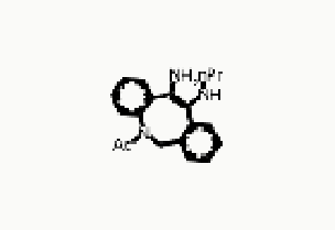 CCCN/C1=C(\N)c2ccccc2N(C(C)=O)Cc2ccccc21